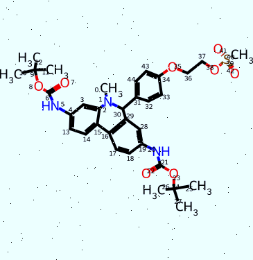 CN1c2cc(NC(=O)OC(C)(C)C)ccc2-c2ccc(NC(=O)OC(C)(C)C)cc2C1c1ccc(OCCOS(C)(=O)=O)cc1